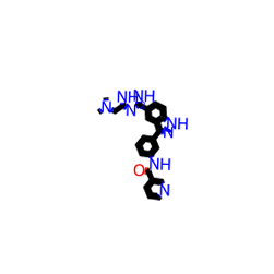 CN(C)C/C(N)=N/C(=N)c1ccc2[nH]nc(-c3cccc(NC(=O)c4cccnc4)c3)c2c1